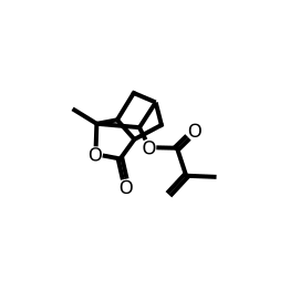 C=C(C)C(=O)OC1C2CC3C(=O)OC1(C)C3C2